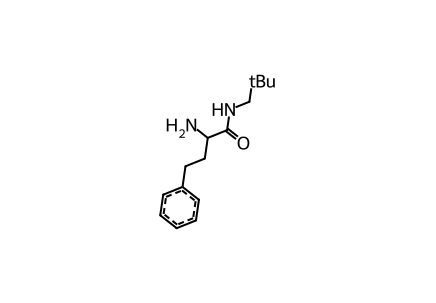 CC(C)(C)CNC(=O)C(N)CCc1ccccc1